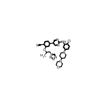 CC(Cn1cnnn1)Oc1cc(-c2cnc(Nc3cc(N4CCC(N5CCOCC5)CC4)ccc3Cl)nc2)ccc1C#N